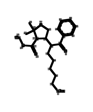 CCCCCCCCCCCCCCCC(C(=O)c1ccccc1)C1COC(C)(C)N1C(=O)OC(C)(C)C